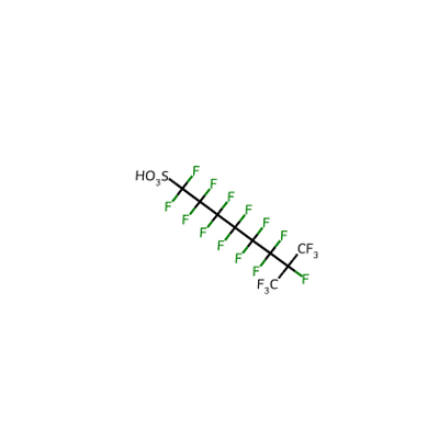 O=S(=O)(O)C(F)(F)C(F)(F)C(F)(F)C(F)(F)C(F)(F)C(F)(F)C(F)(C(F)(F)F)C(F)(F)F